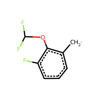 [CH2]c1cccc(F)c1OC(F)F